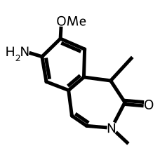 COc1cc2c(cc1N)C=CN(C)C(=O)C2C